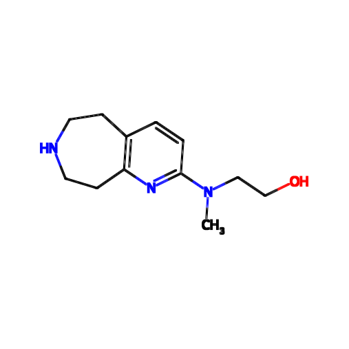 CN(CCO)c1ccc2c(n1)CCNCC2